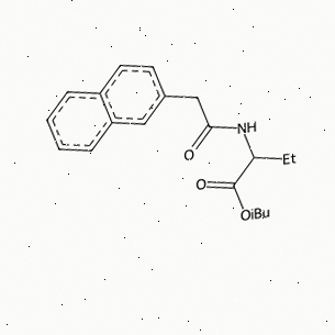 CCC(NC(=O)Cc1ccc2ccccc2c1)C(=O)OCC(C)C